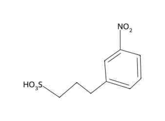 O=[N+]([O-])c1cccc(CCCS(=O)(=O)O)c1